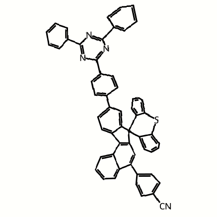 N#Cc1ccc(-c2cc3c(c4ccccc24)-c2ccc(-c4ccc(-c5nc(-c6ccccc6)nc(-c6ccccc6)n5)cc4)cc2C32c3ccccc3Sc3ccccc32)cc1